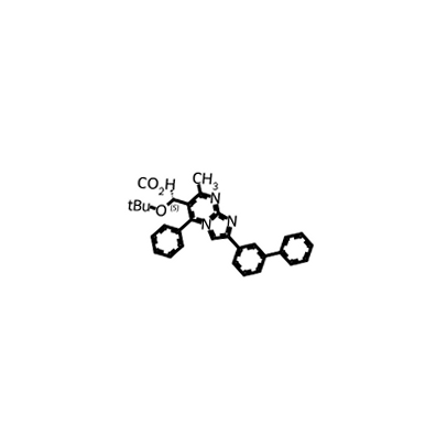 Cc1nc2nc(-c3cccc(-c4ccccc4)c3)cn2c(-c2ccccc2)c1[C@H](OC(C)(C)C)C(=O)O